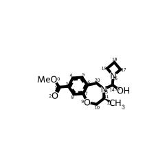 COC(=O)c1ccc2c(c1)OC[C@H](C)N(C(O)N1CCC1)C2